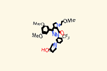 COCCN1CCc2c(-c3cc(OC)cc(OC)c3)nn(-c3cc(N4CC[C@H](O)C4)ccc3C(F)(F)F)c(=O)c21